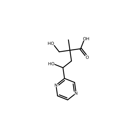 CC(CO)(CC(O)c1cnccn1)C(=O)O